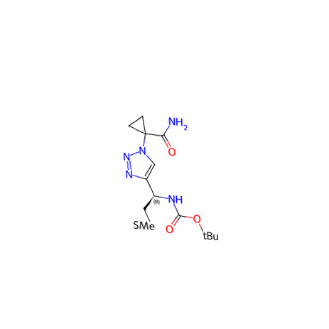 CSC[C@H](NC(=O)OC(C)(C)C)c1cn(C2(C(N)=O)CC2)nn1